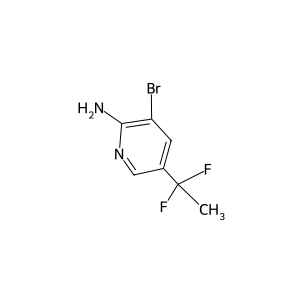 CC(F)(F)c1cnc(N)c(Br)c1